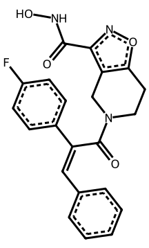 O=C(NO)c1noc2c1CN(C(=O)/C(=C\c1ccccc1)c1ccc(F)cc1)CC2